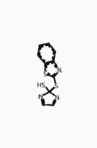 SC1(Sc2nc3ccccc3s2)N=CC=N1